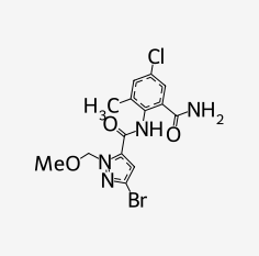 COCn1nc(Br)cc1C(=O)Nc1c(C)cc(Cl)cc1C(N)=O